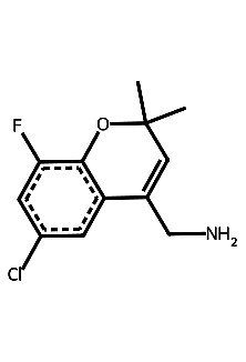 CC1(C)C=C(CN)c2cc(Cl)cc(F)c2O1